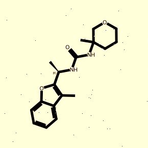 Cc1c([C@@H](C)NC(=O)NC2(C)CCCOC2)oc2ccccc12